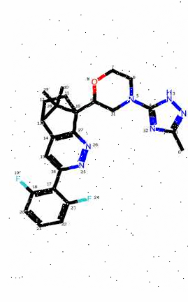 Cc1n[nH]c(N2CCOC(C34CCC(c5cc(-c6c(F)cccc6F)nnc53)C4(C)C)C2)n1